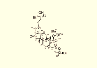 CCC(O)(CC)CCSC(C)[C@H]1C(=O)C[C@H]2C3=CC=C4C[C@@H](O[Si](C)(C)C(C)(C)C)C[C@H](O[Si](C)(C)C(C)(C)C)[C@]4(C)[C@H]3CC[C@]12C